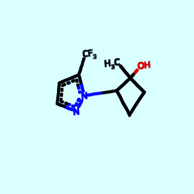 CC1(O)CCC1n1nccc1C(F)(F)F